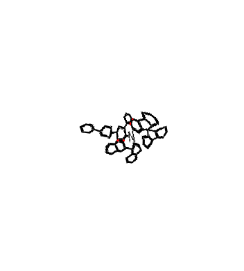 c1ccc(-c2ccc(-c3ccc(N(c4ccc5c(c4)C4(c6ccccc6-c6ccccc64)c4ccccc4-5)c4ccc5ccccc5c4-c4ccc5ccccc5c4)c(-c4ccccc4)c3)cc2)cc1